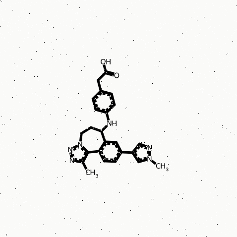 Cc1nnn2c1-c1ccc(-c3cnn(C)c3)cc1C(Nc1ccc(CC(=O)O)cc1)CC2